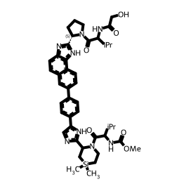 COC(=O)NC(C(=O)N1CC[Si](C)(C)CC1c1ncc(-c2ccc(-c3ccc4c(ccc5nc([C@@H]6CCCN6C(=O)C(NC(=O)CO)C(C)C)[nH]c54)c3)cc2)[nH]1)C(C)C